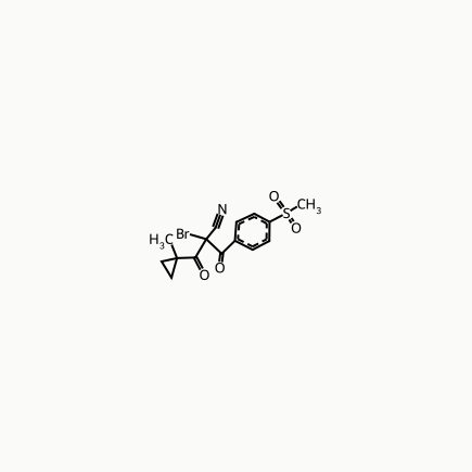 CC1(C(=O)C(Br)(C#N)C(=O)c2ccc(S(C)(=O)=O)cc2)CC1